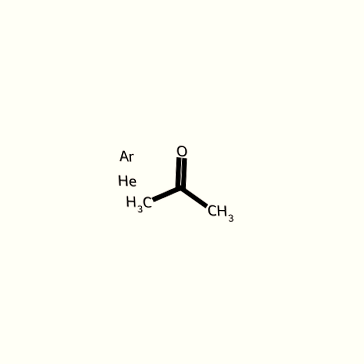 CC(C)=O.[Ar].[He]